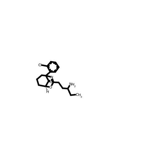 CCC(N)CCC1=NC2(c3ccccc3Cl)CCC[C@H](O1)C2=O